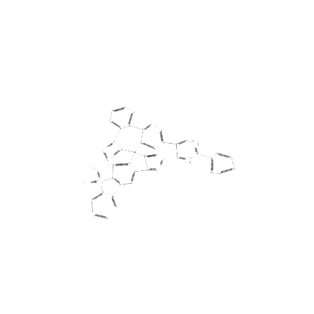 O=S1(=O)c2ccccc2-c2cc3c(cc21)C1(c2ccccc2-c2ccccc2-c2ccc(-c4cnc(-c5ccccc5)nc4)cc21)c1ccccc1-3